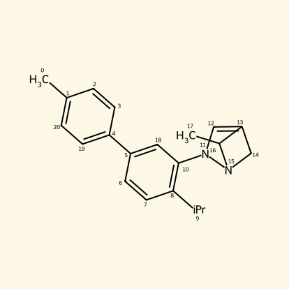 Cc1ccc(-c2ccc(C(C)C)c(N3C=C4CN3C4C)c2)cc1